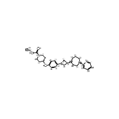 CC(C)(C)OC(=O)N1CCC(Oc2ccc(N3CC(N4CCCN(c5ccccn5)CC4)C3)cc2)CC1